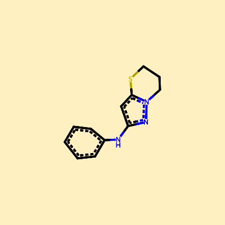 c1ccc(Nc2cc3n(n2)CCCS3)cc1